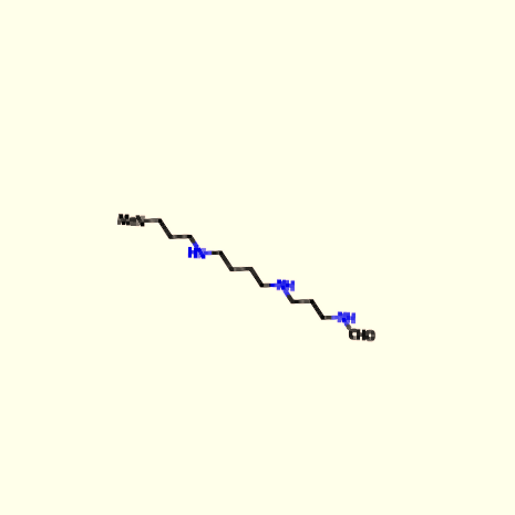 CNCCCNCCCCNCCCNC=O